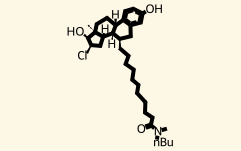 CCCCN(C)C(=O)CCCCCCCCCC[C@@H]1Cc2cc(O)ccc2[C@H]2CC[C@]3(C)[C@H](O)[C@H](Cl)C[C@H]3[C@H]12